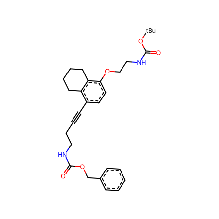 CC(C)(C)OC(=O)NCCOc1ccc(C#CCCNC(=O)OCc2ccccc2)c2c1CCCC2